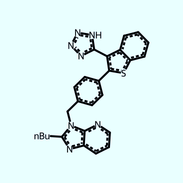 CCCCc1nc2cccnc2n1Cc1ccc(-c2sc3ccccc3c2-c2nnn[nH]2)cc1